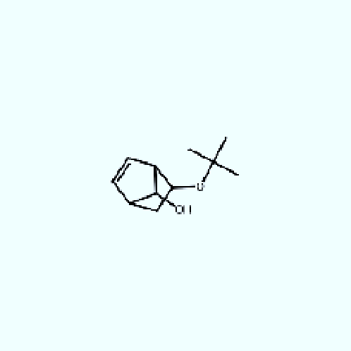 CC(C)(C)OC1CC2C=CC1C2O